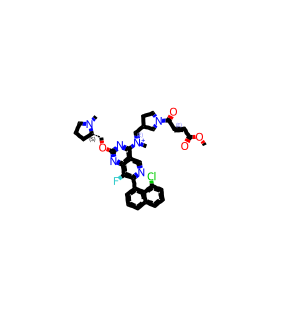 COC(=O)/C=C/C(=O)N1CCC(/C=[N+](\C)c2nc(OC[C@@H]3CCCN3C)nc3c(F)c(-c4cccc5cccc(Cl)c45)ncc23)C1